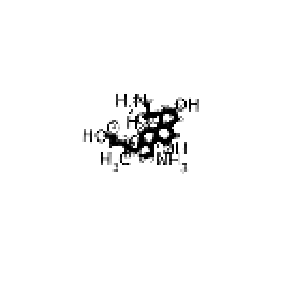 C[C@H](CCC(=O)O)[C@H]1CCC2C3C(CC[C@@]21C)[C@]1(C)C(C[C@@H](O)CC1C(=O)CN)C[C@@H]3O.N